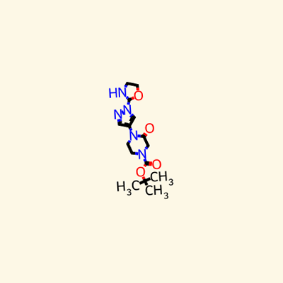 CC(C)(C)OC(=O)N1CCN(c2cnn(C3NCCO3)c2)C(=O)C1